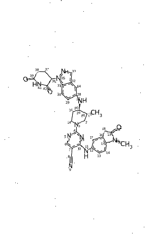 C[C@@H]1CN(c2ncc(C#N)c(Nc3ccc4c(c3)CC(=O)N4C)n2)CC[C@H]1Nc1ccc2c(cnn2C2CCC(=O)NC2=O)c1